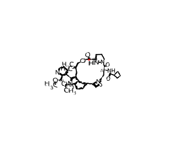 CCn1c(-c2cccnc2[C@H](C)OC)c2c3cc(ccc31)-c1csc(n1)C[C@H](NC(=O)C1CCC1)C(=O)N1CCC[C@](C=O)(COCC(C)(C)C2)N1